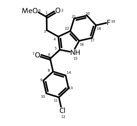 COC(=O)Cc1c(C(=O)c2ccc(Cl)cc2)[nH]c2cc(F)ccc12